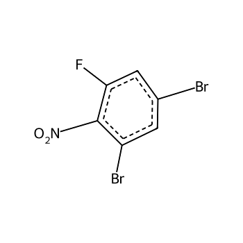 O=[N+]([O-])c1c(F)cc(Br)cc1Br